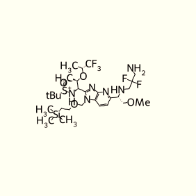 COC[C@@H](NCC(F)(F)CN)c1ccc2c(n1)nc([C@@H](N[S@+]([O-])C(C)(C)C)[C@@H](C)O[C@H](C)C(F)(F)F)n2COCC[Si](C)(C)C